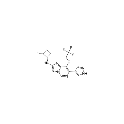 F[C@H]1CC[C@H]1Nc1nc2c(OCC(F)(F)F)c(-c3cn[nH]c3)ncn2n1